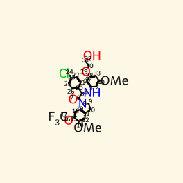 COc1cc(NC(C(=O)N2CCc3cc(OC)c(OC(F)(F)F)cc32)c2ccc(Cl)cc2)cc(OCCO)c1